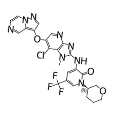 Cn1c(Nc2cc(C(F)(F)F)cn([C@@H]3CCCOC3)c2=O)nc2ncc(Oc3cnn4ccncc34)c(Cl)c21